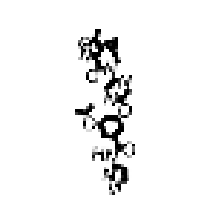 Cc1cc(C(=O)N(CC2CC2)c2cnc(Oc3cc(OC(C)C)cc(C(=O)Nc4ccn(C)n4)c3)cn2)no1